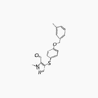 Cc1cccc(COc2ccc(Sc3cnn(C)c3C=O)cc2)c1